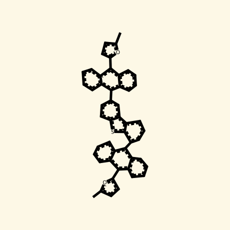 Cc1ccc(-c2c3ccccc3c(-c3ccc4sc5c(-c6c7ccccc7c(-c7ccc(C)o7)c7ccccc67)cccc5c4c3)c3ccccc23)o1